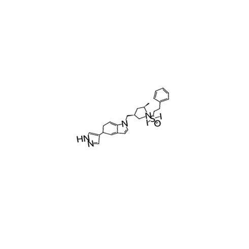 C[C@@H]1C[C@H](Cn2ccc3c2=CCC(c2cn[nH]c2)C=3)CN1S(=O)(I)(I)CCc1ccccc1